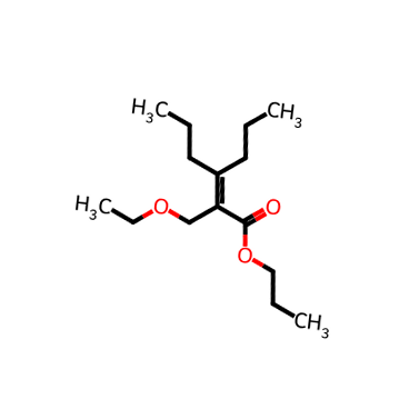 CCCOC(=O)C(COCC)=C(CCC)CCC